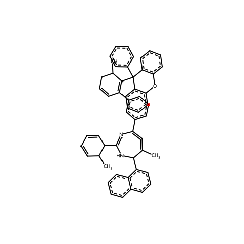 CC1=C=C(c2cccc(C3=C(C4(c5ccccc5)c5ccccc5Oc5ccccc54)C(C)CC=C3)c2)N=C(C2C=CC=CC2C)NC1c1cccc2ccccc12